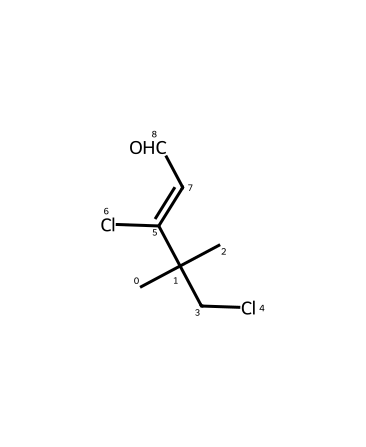 CC(C)(CCl)C(Cl)=CC=O